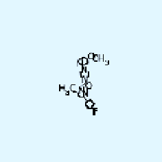 CCc1cc(-c2ccc(F)cc2)nn1CC(=O)N1CCN(c2cc(OC)ccn2)CC1